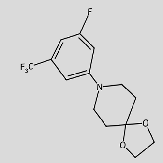 Fc1cc(N2CCC3(CC2)OCCO3)cc(C(F)(F)F)c1